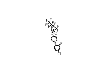 O=S(=O)(OC1=CCN(c2ccc(Cl)cc2F)CC1)C(F)(F)C(F)(F)C(F)(F)C(F)(F)F